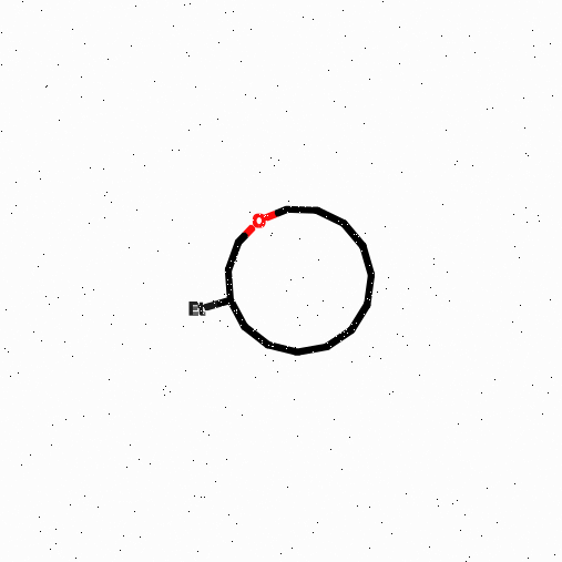 CCC1CCCCCCCCCCCOCC1